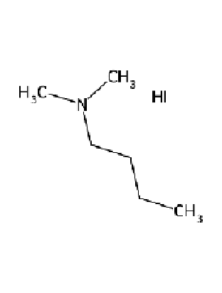 CCCCN(C)C.I